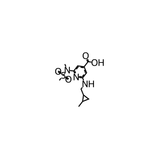 CC1CC1CNc1cc(C(=O)O)cc(N(C)S(C)(=O)=O)n1